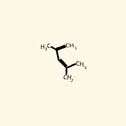 [CH2]C(C)=CC(=C)C